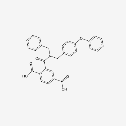 O=C(O)c1ccc(C(=O)O)c(C(=O)N(Cc2ccccc2)Cc2ccc(Oc3ccccc3)cc2)c1